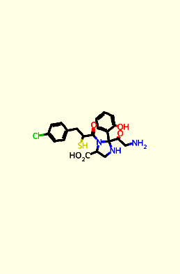 NCC(=O)C1(c2ccccc2O)NCC(C(=O)O)N1C(=O)C(S)Cc1ccc(Cl)cc1